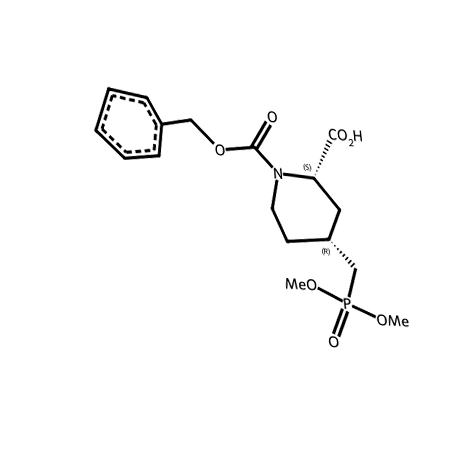 COP(=O)(C[C@@H]1CCN(C(=O)OCc2ccccc2)[C@H](C(=O)O)C1)OC